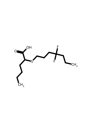 CCCCC(SCCCC(F)(F)CCC)C(=O)O